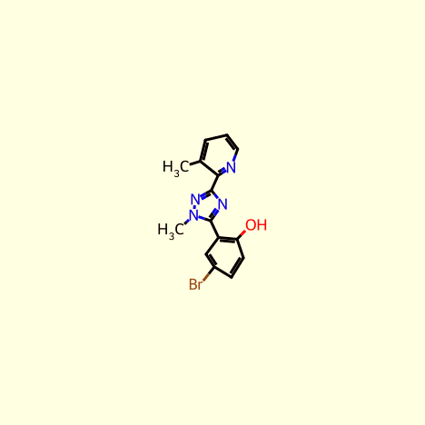 Cc1cccnc1-c1nc(-c2cc(Br)ccc2O)n(C)n1